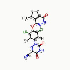 [2H]c1c(Cl)c(Oc2n[nH]c(=O)c3c2C(C)CC3)c(Cl)c([2H])c1-n1nc(C#N)c(=O)[nH]c1=O